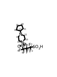 O=S(=O)(O)C(F)(F)C(F)(F)C(F)(F)S(=O)(=O)N1CCN(C2CCCC2)CC1